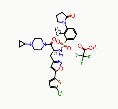 Cc1c(N2CCCC2=O)cccc1S(=O)(=O)N[C@@H](Cc1cc(-c2ccc(Cl)s2)on1)C(=O)N1CCN(C2CC2)CC1.O=C(O)C(F)(F)F